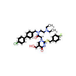 CCN(CC)CCN(Cc1ccc(-c2ccc(Cl)cc2)cc1)C(=O)Cn1cc(CO)c(=O)nc1SCc1ccc(F)cc1